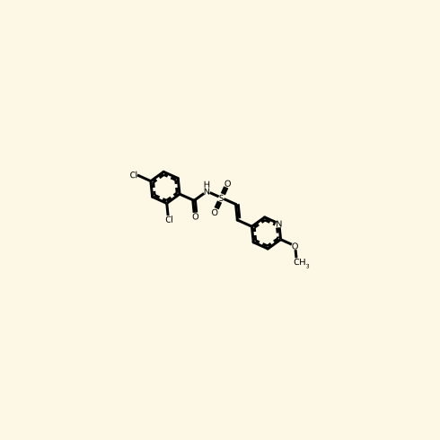 COc1ccc(C=CS(=O)(=O)NC(=O)c2ccc(Cl)cc2Cl)cn1